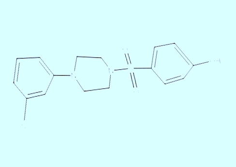 O=S(=O)(c1ccc(O)cc1)N1CCN(c2cccc(Cl)c2)CC1